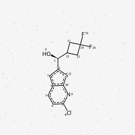 O[C@H](c1cc2ccc(Cl)nc2s1)C1CC(F)(F)C1